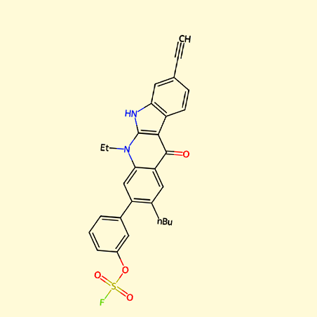 C#Cc1ccc2c(c1)[nH]c1c2c(=O)c2cc(CCCC)c(-c3cccc(OS(=O)(=O)F)c3)cc2n1CC